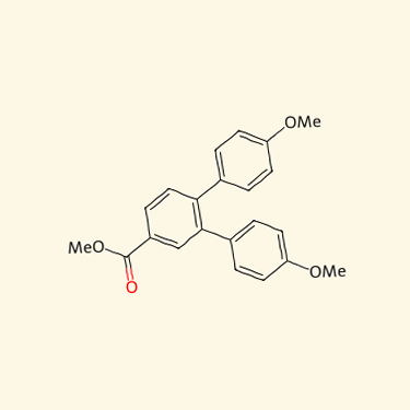 COC(=O)c1ccc(-c2ccc(OC)cc2)c(-c2ccc(OC)cc2)c1